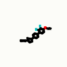 CCCOc1ccc(-c2ccc(-c3ccc(C=O)[se]3)cc2)c(F)c1F